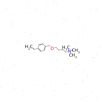 C=Cc1ccc(COCC[CH]C[N+](C)(C)C)cc1